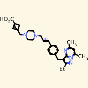 CCc1nn2c(C)cc(C)nc2c1Cc1ccc(/C=C/CN2CCN(CC34CC(C(=O)O)(C3)C4)CC2)cc1